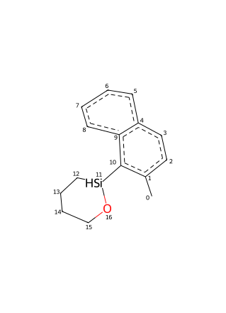 Cc1ccc2ccccc2c1[SiH]1CCCCO1